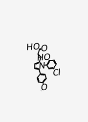 COc1ccc(-c2ccc(CCC(=O)O)n2-c2cc(Cl)ccc2O)cc1